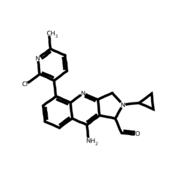 Cc1ccc(-c2cccc3c(N)c4c(nc23)CN(C2CC2)C4C=O)c(Cl)n1